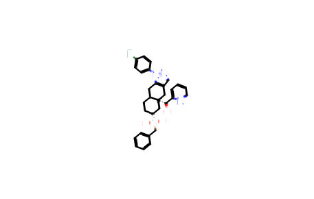 O=C(c1ccccn1)[C@]12Cc3cnn(-c4ccc(F)cc4)c3CC1CC[C@@H](S(=O)(=O)Cc1ccccc1)C2